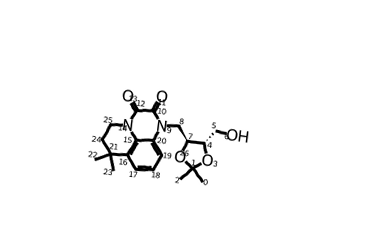 CC1(C)O[C@@H](CO)[C@H](Cn2c(=O)c(=O)n3c4c(cccc42)C(C)(C)CC3)O1